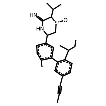 CC#Cc1ccc(C(C)CC)c(-c2cc(C3C[S+]([O-])C(C(C)C)C(=N)N3)ccc2C)c1